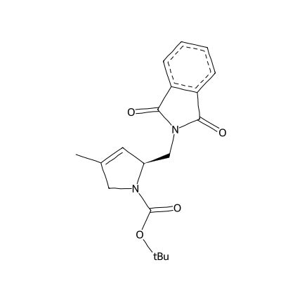 CC1=C[C@@H](CN2C(=O)c3ccccc3C2=O)N(C(=O)OC(C)(C)C)C1